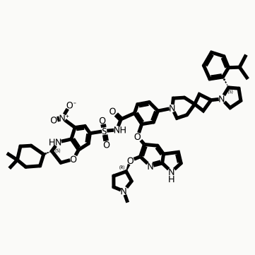 CC(C)c1ccccc1[C@@H]1CCCN1C1CC2(CCN(c3ccc(C(=O)NS(=O)(=O)c4cc5c(c([N+](=O)[O-])c4)N[C@@H](C4CCC(C)(C)CC4)CO5)c(Oc4cc5cc[nH]c5nc4O[C@@H]4CCN(C)C4)c3)CC2)C1